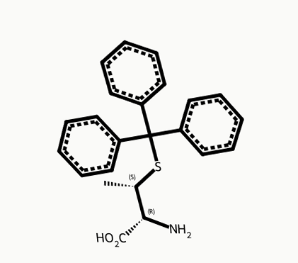 C[C@H](SC(c1ccccc1)(c1ccccc1)c1ccccc1)[C@H](N)C(=O)O